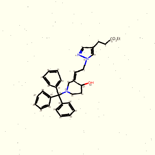 CCOC(=O)CCc1cnn(CC=C2CN(C(c3ccccc3)(c3ccccc3)c3ccccc3)CCC2O)c1